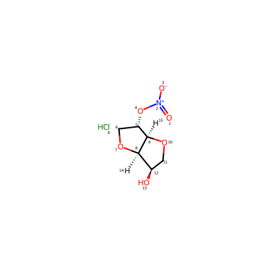 Cl.O=[N+]([O-])O[C@H]1CO[C@H]2[C@@H]1OC[C@H]2O